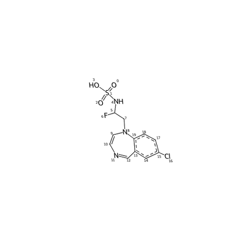 O=S(=O)(O)NC(F)CN1C=CN=Cc2cc(Cl)ccc21